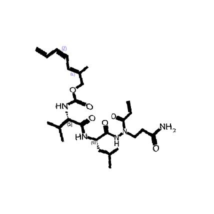 C=C/C=C\C=C(/C)COC(=O)N[C@H](C(=O)N[C@@H](CC(C)C)C(=O)NN(CCC(N)=O)C(=O)C=C)C(C)C